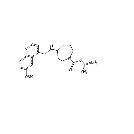 C=C(C)OC(=O)N1CCCC(NCc2ccnc3ccc(OC)cc23)CC1